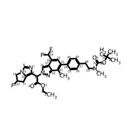 CCOC(=O)C(c1ncn2c1CC(F)C2)n1cc2c(C(F)F)cc(-c3ccc(CCN(C)C(=O)OC(C)(C)C)cc3)c(C)c2n1